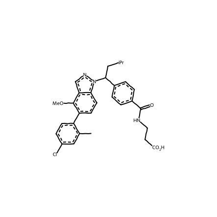 COc1c(-c2ccc(Cl)cc2C)ccc2c1cnn2C(CC(C)C)c1ccc(C(=O)NCCC(=O)O)cc1